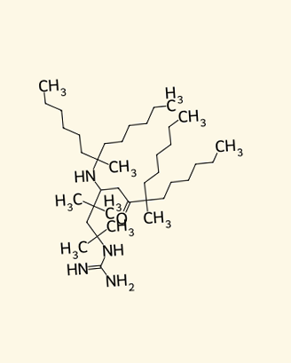 CCCCCCC(C)(CCCCCC)NC(CC(=O)C(C)(CCCCCC)CCCCCC)C(C)(C)CC(C)(C)NC(=N)N